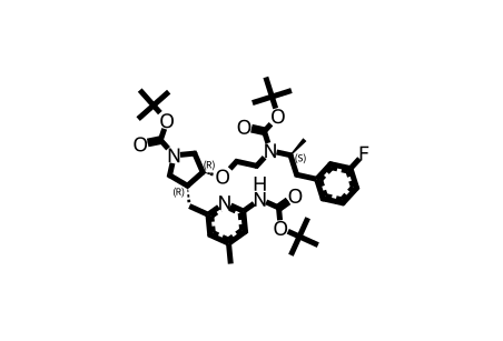 Cc1cc(C[C@@H]2CN(C(=O)OC(C)(C)C)C[C@@H]2OCCN(C(=O)OC(C)(C)C)[C@@H](C)Cc2cccc(F)c2)nc(NC(=O)OC(C)(C)C)c1